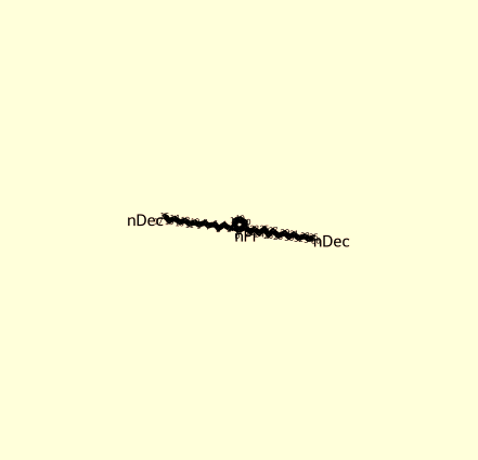 [CH2]CCc1c(CCCCCCCCCCCCCCCCCCCCCCCC)cccc1CCCCCCCCCCCCCCCCCCCCCCCC